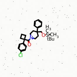 CC(C)(C)[Si](C)(C)OCC1(c2ccccc2)CCN(C(=O)C2(c3ccc(Cl)cc3)CCC2)CC1